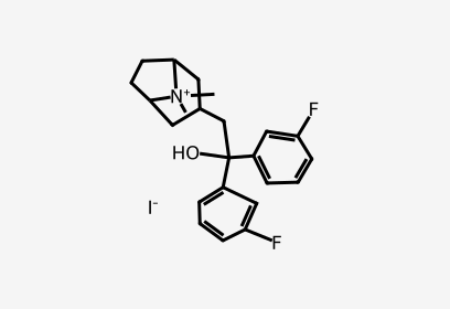 C[N+]1(C)C2CCC1CC(CC(O)(c1cccc(F)c1)c1cccc(F)c1)C2.[I-]